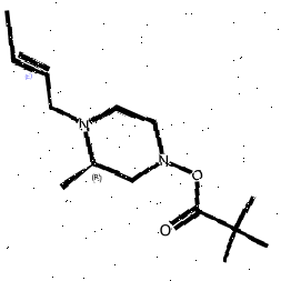 C/C=C/CN1CCN(OC(=O)C(C)(C)C)C[C@H]1C